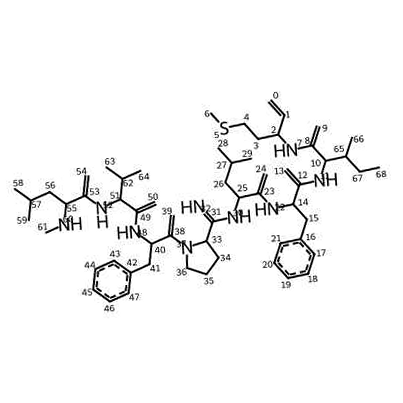 C=CC(CCSC)NC(=C)C(NC(=C)C(Cc1ccccc1)NC(=C)C(CC(C)C)NC(=N)C1CCCN1C(=C)C(Cc1ccccc1)NC(=C)C(NC(=C)C(CC(C)C)NC)C(C)C)C(C)CC